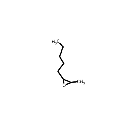 CCCCCC1OC1C